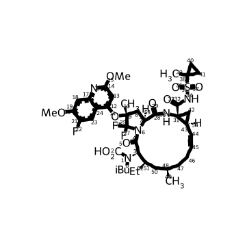 CCC(C)N(C(=O)O)[C@@H]1C(=O)N2[C@@H](C[C@@](C)(Oc3cc(OC)nc4cc(OC)c(F)cc34)C2(F)F)C(=O)N[C@]2(C(=O)NS(=O)(=O)C3(C)CC3)C[C@H]2/C=C\CC[C@@H](C)C[C@H]1CC